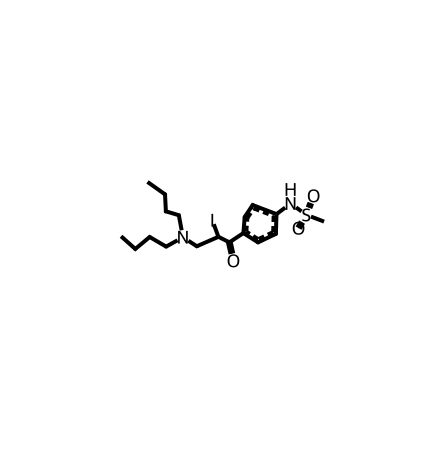 CCCCN(CCCC)CC(I)C(=O)c1ccc(NS(C)(=O)=O)cc1